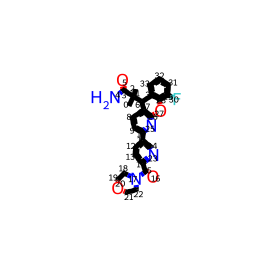 CC(C)(C(N)=O)C1c2ccc(-c3ccc(C(=O)N4CCOCC4)nc3)nc2Oc2c(F)cccc21